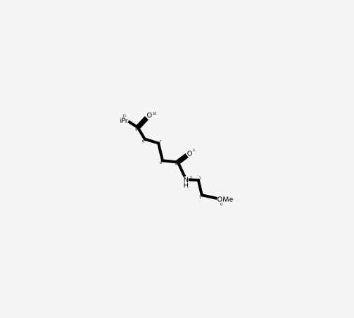 COCCNC(=O)CCCC(=O)C(C)C